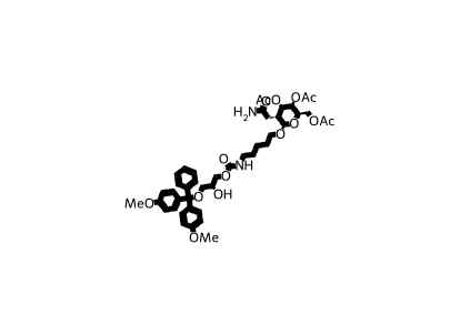 COc1ccc(C(OC[C@H](O)COC(=O)NCCCCCO[C@@H]2O[C@H](COC(C)=O)[C@H](OC(C)=O)[C@H](OC(C)=O)[C@H]2CC(N)=O)(c2ccccc2)c2ccc(OC)cc2)cc1